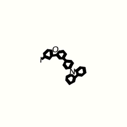 Ic1ccc2oc3ccc(-c4ccc(-n5c6ccccc6c6ccccc65)cc4)cc3c2c1